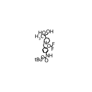 CC(C)(C)OC(=O)Nc1ccc(CN2CCCC(C(C)(O)CO)C2)c(OC(F)F)c1